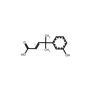 CC(C)(/C=C/C(=O)O)c1cccc(O)c1